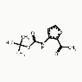 CC(=O)c1sccc1NC(=O)OC(C)(C)C